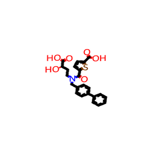 O=C(O)c1ccc(C(=O)N(CC[C@@H](O)C(=O)O)Cc2ccc(-c3ccccc3)cc2)s1